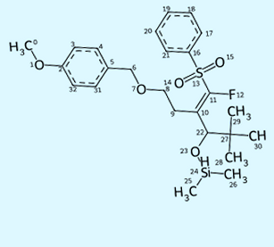 COc1ccc(COCCC(=C(F)S(=O)(=O)c2ccccc2)C(O[SiH](C)C)C(C)(C)C)cc1